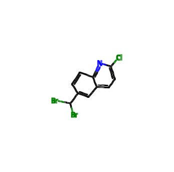 Clc1ccc2cc(C(Br)Br)ccc2n1